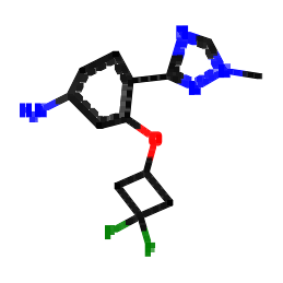 Cn1cnc(-c2ccc(N)cc2OC2CC(F)(F)C2)n1